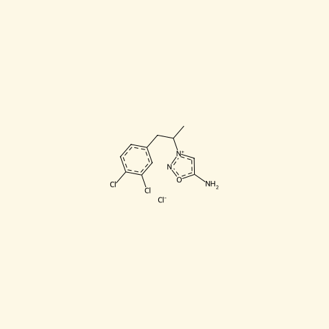 CC(Cc1ccc(Cl)c(Cl)c1)[n+]1cc(N)on1.[Cl-]